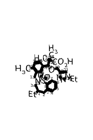 CCC1Cc2ccccc2S(=O)(=O)N(Cc2cc([C@@H](OCc3cn(CC)nn3)C(C)(C)C(=O)O)ccc2C)C1